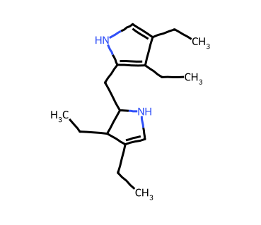 CCC1=CNC(Cc2[nH]cc(CC)c2CC)C1CC